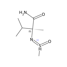 CC(C)[C@](C)(/N=[SH](/C)=O)C(N)=O